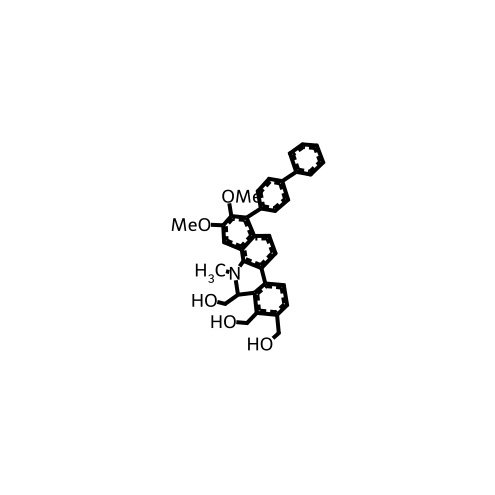 COc1cc2c3c(ccc2c(-c2ccc(-c4ccccc4)cc2)c1OC)-c1ccc(CO)c(CO)c1C(CO)N3C